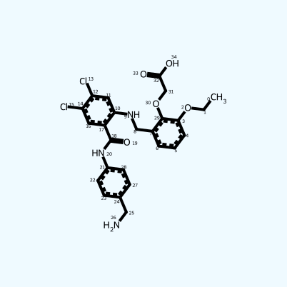 CCOc1cccc(CNc2cc(Cl)c(Cl)cc2C(=O)Nc2ccc(CN)cc2)c1OCC(=O)O